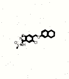 C[S+]([O-])Nc1noc2cc(COc3ccc4c(c3)CCCC4)c(Cl)cc12